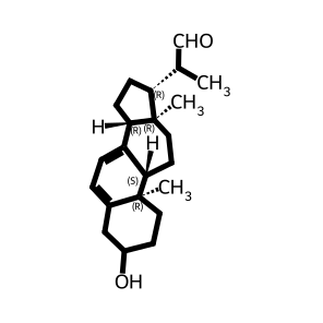 CC(C=O)[C@H]1CC[C@H]2C3=CC=C4CC(O)CC[C@]4(C)[C@H]3CC[C@]12C